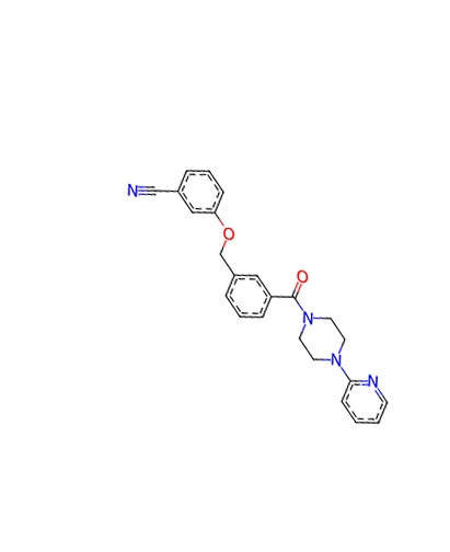 N#Cc1cccc(OCc2cccc(C(=O)N3CCN(c4ccccn4)CC3)c2)c1